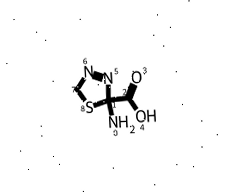 NC1(C(=O)O)N=NCS1